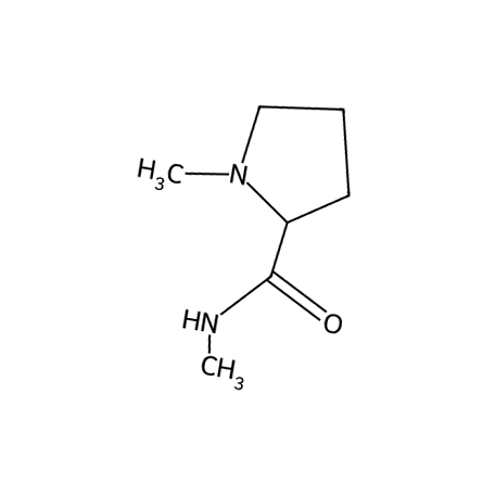 CNC(=O)C1CCCN1C